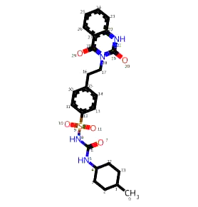 CC1CCC(NC(=O)NS(=O)(=O)c2ccc(CCn3c(=O)[nH]c4ccccc4c3=O)cc2)CC1